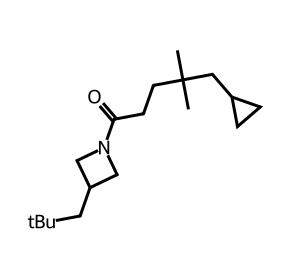 CC(C)(C)CC1CN(C(=O)CCC(C)(C)CC2CC2)C1